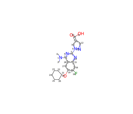 CN(C)c1nc(-n2cc(C(=O)O)cn2)nc2cc(F)c(OC3CCCCC3)cc12